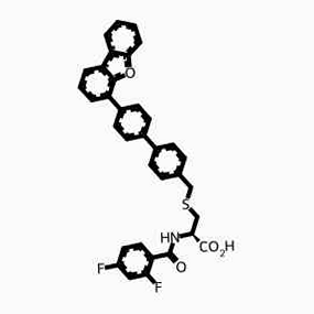 O=C(N[C@@H](CSCc1ccc(-c2ccc(-c3cccc4c3oc3ccccc34)cc2)cc1)C(=O)O)c1ccc(F)cc1F